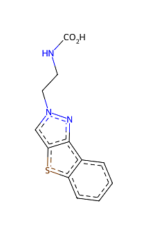 O=C(O)NCCn1cc2sc3ccccc3c2n1